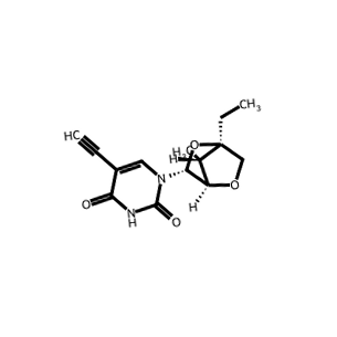 C#Cc1cn([C@@H]2O[C@@]3(CC)CO[C@@H]2[C@@H]3C)c(=O)[nH]c1=O